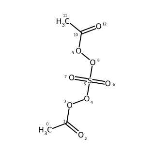 CC(=O)OOS(=O)(=O)OOC(C)=O